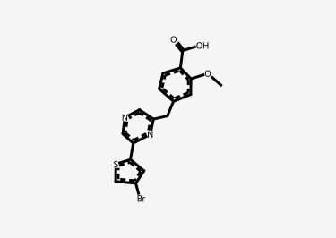 COc1cc(Cc2cncc(-c3cc(Br)cs3)n2)ccc1C(=O)O